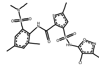 Cc1cc(C)c(NC(=O)c2sc(C)cc2S(=O)(=O)Nc2onc(C)c2Cl)c(S(=O)(=O)N(C)C)c1